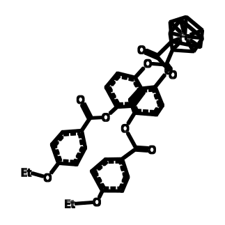 CCOc1ccc(C(=O)Oc2ccc(OC(=O)[C]34[CH]5[CH]6[CH]7[CH]3[Fe]6754389%10[CH]4[CH]3[CH]8[C]9(C(=O)Oc3ccc(OC(=O)c5ccc(OCC)cc5)cc3)[CH]4%10)cc2)cc1